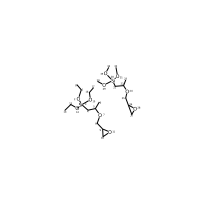 CCO[Si](CC(C)OCC1CO1)(OCC)OCC.CO[Si](CC(C)OCC1CO1)(OC)OC